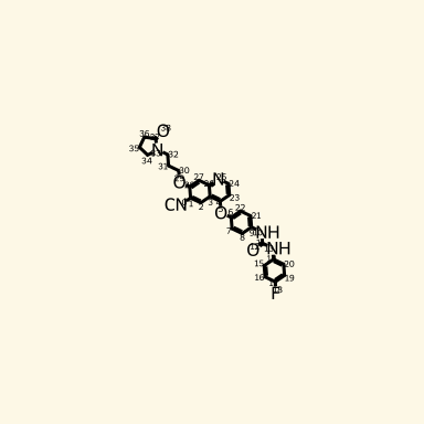 [C-]#[N+]c1cc2c(Oc3ccc(NC(=O)Nc4ccc(F)cc4)cc3)ccnc2cc1OCCCN1CCCC1=O